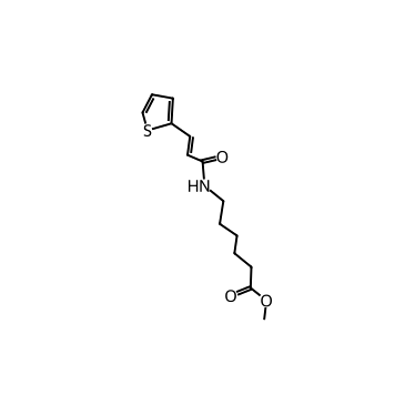 COC(=O)CCCCCNC(=O)C=Cc1cccs1